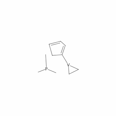 C1=CC[C]([V]2[CH2][CH2]2)=C1.CP(C)C